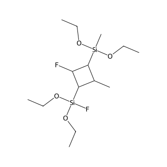 CCO[Si](C)(OCC)C1C(C)C([Si](F)(OCC)OCC)C1F